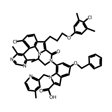 Cc1ccnc(Cn2c(C(=O)O)cc3cc(OCc4ccccc4)cc(N4CC(C)n5c(c(CCCOc6cc(C)c(Cl)c(C)c6)c6ccc(Cl)c(-c7c(C)ncnc7C)c65)C4=O)c32)c1